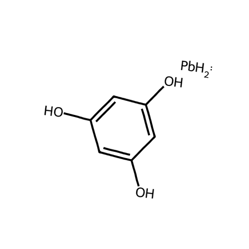 Oc1cc(O)cc(O)c1.[PbH2]